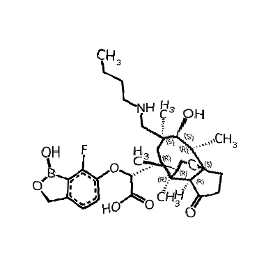 CCCCNC[C@]1(C)C[C@@H](C(Oc2ccc3c(c2F)B(O)OC3)C(=O)O)[C@@]2(C)[C@H](C)CC[C@]3(CCC(=O)[C@H]32)[C@@H](C)[C@@H]1O